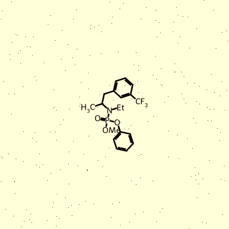 CCN(C(C)Cc1cccc(C(F)(F)F)c1)P(=O)(OC)Oc1ccccc1